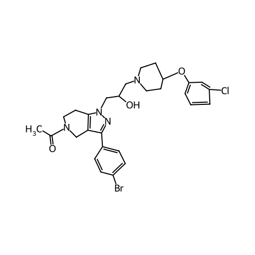 CC(=O)N1CCc2c(c(-c3ccc(Br)cc3)nn2CC(O)CN2CCC(Oc3cccc(Cl)c3)CC2)C1